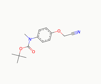 CN(C(=O)OC(C)(C)C)c1ccc(OCC#N)cc1